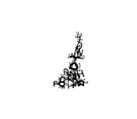 Cc1nn(COCCS(C)(C)C)c(C)c1-c1ccc(NC(=O)C(NC(=O)c2ccnn2C)[C@H]2CCc3c(F)cccc32)cc1